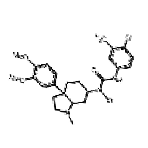 CCN(C(=O)Nc1ccc(Cl)c(C(F)(F)F)c1)C1CCC2(c3ccc(OC)c(OC)c3)CCN(C)C2C1